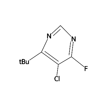 CC(C)(C)c1ncnc(F)c1Cl